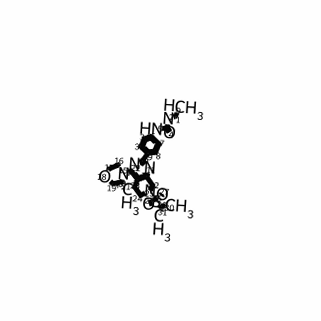 CCNC(=O)Nc1ccc(-c2nc3c(c(N4CCOC[C@@H]4C)n2)CCN(S(=O)(=O)C(C)C)C3)cc1